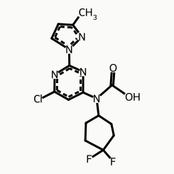 Cc1ccn(-c2nc(Cl)cc(N(C(=O)O)C3CCC(F)(F)CC3)n2)n1